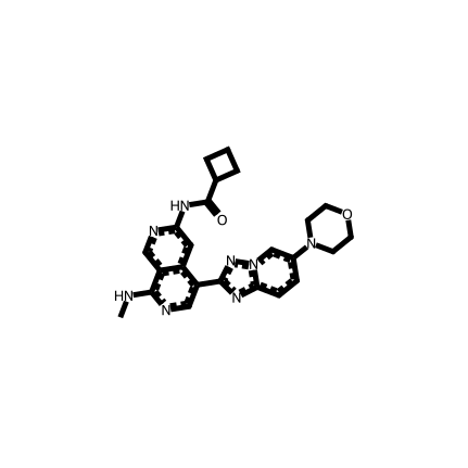 CNc1ncc(-c2nc3ccc(N4CCOCC4)cn3n2)c2cc(NC(=O)C3CCC3)ncc12